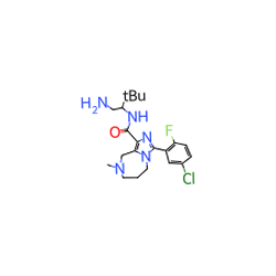 CN1CCCn2c(-c3cc(Cl)ccc3F)nc(C(=O)NC(CN)C(C)(C)C)c2C1